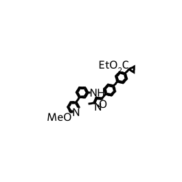 CCOC(=O)C1(c2ccc(-c3ccc(-c4onc(C)c4Nc4cccc(-c5ccc(OC)nc5)c4)cc3)cc2)CC1